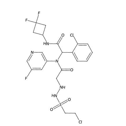 O=C(NC1CC(F)(F)C1)C(c1ccccc1Cl)N(C(=O)CNNS(=O)(=O)CCCl)c1cncc(F)c1